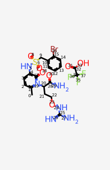 Cc1ccc(NS(=O)(=O)Cc2ccccc2Br)c(=O)n1C(CCONC(=N)N)C(N)=O.O=C(O)C(F)(F)F